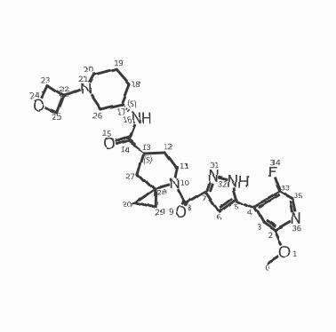 COc1cc(-c2cc(C(=O)N3CC[C@H](C(=O)N[C@H]4CCCN(C5COC5)C4)CC34CC4)n[nH]2)c(F)cn1